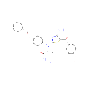 C[C@@H](C(N)=O)N(c1ccc(OCc2ccccc2)cc1)c1nc(N)c(C(=O)c2ccc(OC(F)F)cc2)s1